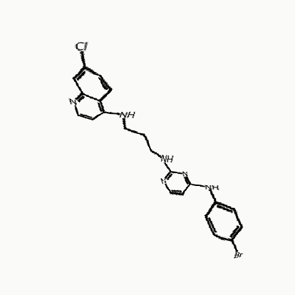 Clc1ccc2c(NCCCNc3nccc(Nc4ccc(Br)cc4)n3)ccnc2c1